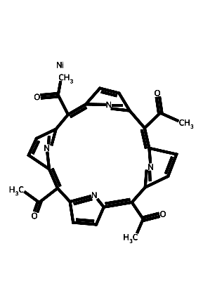 CC(=O)C1=C2C=CC(=N2)C(C(C)=O)=C2C=CC(=N2)C(C(C)=O)=C2C=CC(=N2)C(C(C)=O)=C2C=CC1=N2.[Ni]